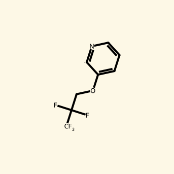 FC(F)(F)C(F)(F)COc1[c]nccc1